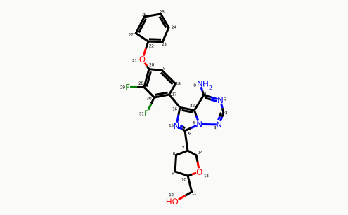 Nc1ncnn2c(C3CCC(CO)OC3)nc(-c3ccc(Oc4ccccc4)c(F)c3F)c12